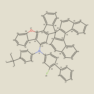 CC(C)(C)c1ccc(N(c2ccc(-c3ccccc3)c(F)c2)c2cc3c(c4oc5ccccc5c24)-c2ccccc2C32c3ccc4ccccc4c3-c3c2ccc2ccccc32)cc1